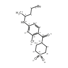 CCC(C)CCC(C)Nc1ncc(C(=O)N2CCS(=O)(=O)CC2)c(C(F)(F)F)n1